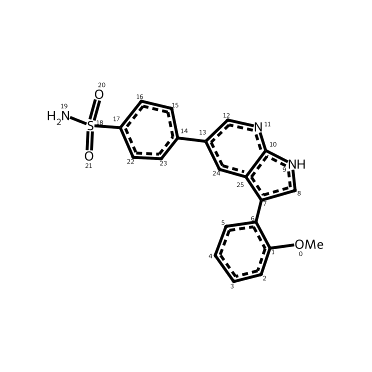 COc1ccccc1-c1c[nH]c2ncc(-c3ccc(S(N)(=O)=O)cc3)cc12